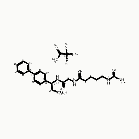 NC(=O)NCCCCC(=O)NCC(=O)NC(CC(=O)O)c1ccc(-c2ccccc2)cc1.O=C(O)C(F)(F)F